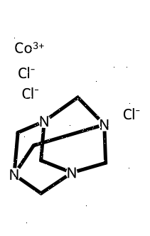 C1N2CN3CN1CN(C2)C3.[Cl-].[Cl-].[Cl-].[Co+3]